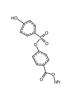 CCCOC(=O)c1ccc(OS(=O)(=O)c2ccc(O)cc2)cc1